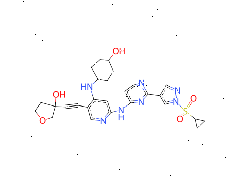 O=S(=O)(C1CC1)n1cc(-c2nccc(Nc3cc(NC4CCC(O)CC4)c(C#CC4(O)CCOC4)cn3)n2)cn1